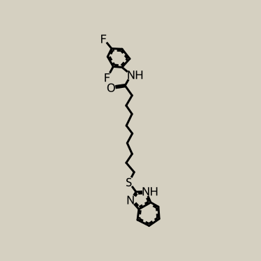 O=C(CCCCCCCCCSc1nc2ccccc2[nH]1)Nc1ccc(F)cc1F